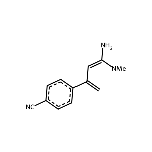 C=C(/C=C(/N)NC)c1ccc(C#N)cc1